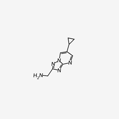 NCc1nc2ncc(C3CC3)cn2n1